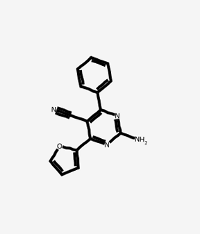 N#Cc1c(-c2ccccc2)nc(N)nc1-c1ccco1